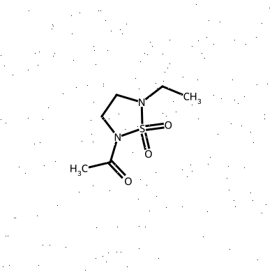 CCN1CCN(C(C)=O)S1(=O)=O